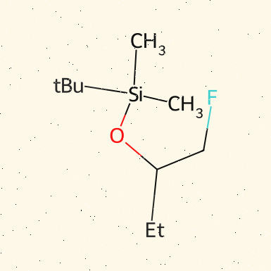 CCC(CF)O[Si](C)(C)C(C)(C)C